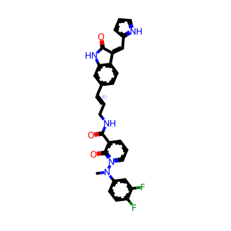 CN(c1ccc(F)c(F)c1)n1cccc(C(=O)NC/C=C/c2ccc3c(c2)NC(=O)C3=Cc2ccc[nH]2)c1=O